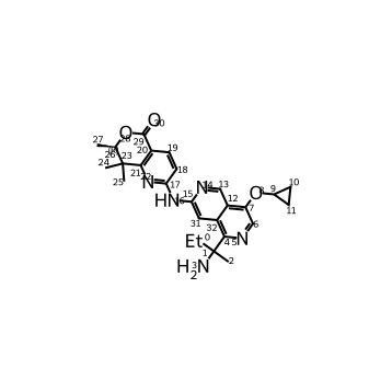 CCC(C)(N)c1ncc(OC2CC2)c2cnc(Nc3ccc4c(n3)C(C)(C)[C@@H](C)OC4=O)cc12